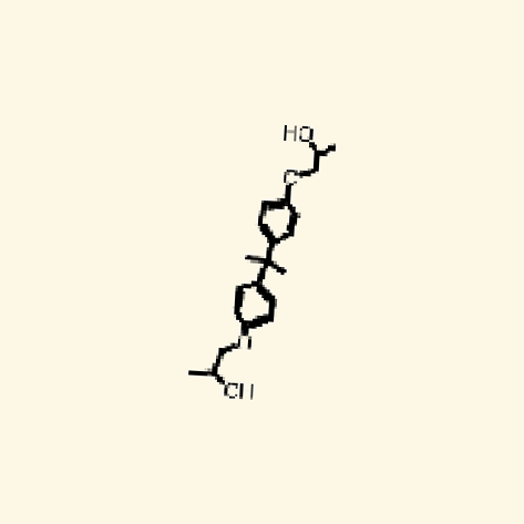 [CH2]C(O)COc1ccc(C(C)(C)c2ccc(OCC([CH2])O)cc2)cc1